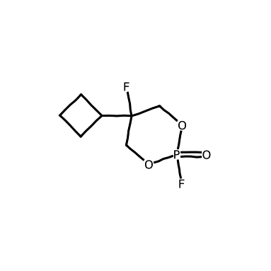 O=P1(F)OCC(F)(C2CCC2)CO1